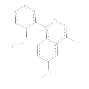 COc1ccc2c(-c3ccccc3OC)nnc(Cl)c2c1